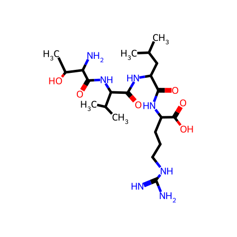 CC(C)CC(NC(=O)C(NC(=O)C(N)C(C)O)C(C)C)C(=O)NC(CCCNC(=N)N)C(=O)O